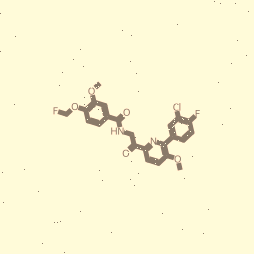 COc1cc(C(=O)NCC(=O)c2ccc(OC)c(-c3ccc(F)c(Cl)c3)n2)ccc1OCF